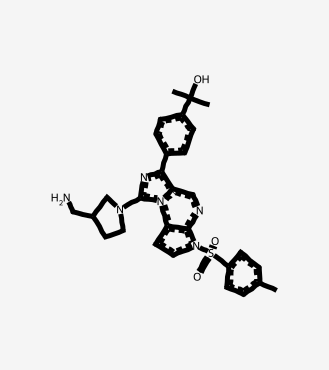 Cc1ccc(S(=O)(=O)n2ccc3c2ncc2c(-c4ccc(C(C)(C)O)cc4)nc(N4CCC(CN)C4)n23)cc1